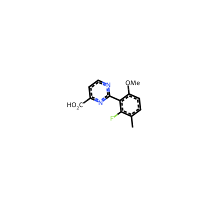 COc1ccc(C)c(F)c1-c1nccc(C(=O)O)n1